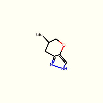 CC(C)(C)C1COc2c[nH]nc2C1